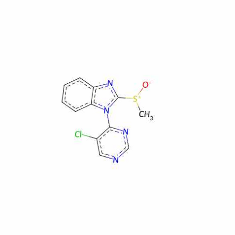 C[S+]([O-])c1nc2ccccc2n1-c1ncncc1Cl